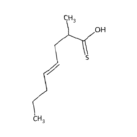 CCCC=CCC(C)C(O)=S